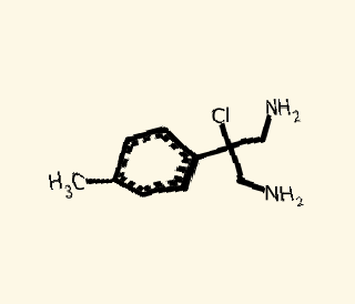 Cc1ccc(C(Cl)(CN)CN)cc1